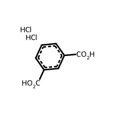 Cl.Cl.O=C(O)c1cccc(C(=O)O)c1